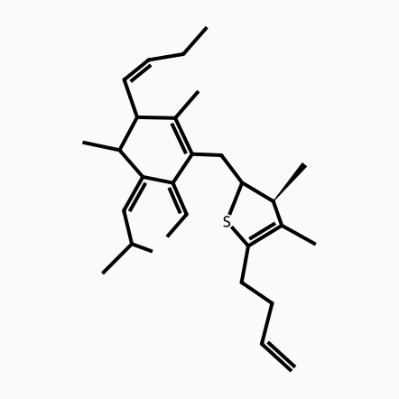 C=CCCC1=C(C)[C@H](C)C(CC2=C(C)C(/C=C\CC)C(C)C(=C/C(C)C)/C2=C\C)S1